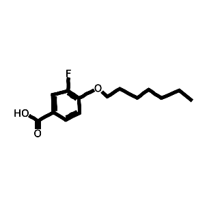 CCCCCCCOc1ccc(C(=O)O)cc1F